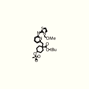 COCn1ccsc1=Nc1cccc(CC2(C(=O)OC(C)(C)C)CCC(OS(C)(=O)=O)CC2)n1